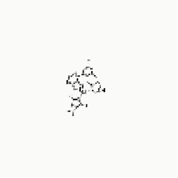 CC[C@H]1CNCCN1Cc1c(C)cc(Cl)cc1-c1ncnc2cc(CN3C(=O)C4C(C3=O)C4(C)C)sc12